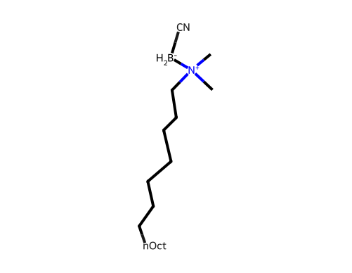 CCCCCCCCCCCCCCC[N+](C)(C)[BH2-]C#N